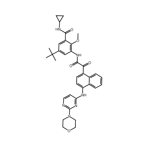 COc1c(NC(=O)C(=O)c2ccc(Nc3ccnc(N4CCOCC4)n3)c3ccccc23)cc(C(C)(C)C)cc1C(=O)NC1CC1